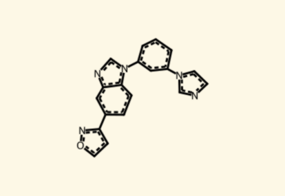 c1cc(-n2ccnc2)cc(-n2cnc3cc(-c4ccon4)ccc32)c1